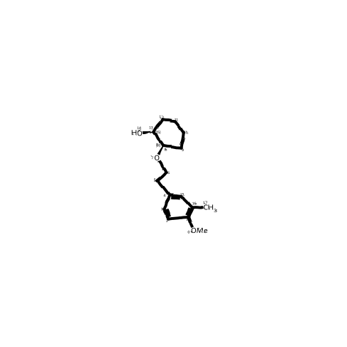 COc1ccc(CCO[C@@H]2CCCC[C@@H]2O)cc1C